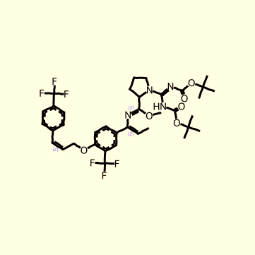 C/C=C(\N=C(/OC)C1CCCN1C(=NC(=O)OC(C)(C)C)NC(=O)OC(C)(C)C)c1ccc(OC/C=C\c2ccc(C(F)(F)F)cc2)c(C(F)(F)F)c1